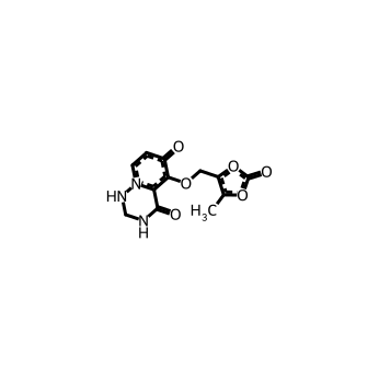 Cc1oc(=O)oc1COc1c2n(ccc1=O)NCNC2=O